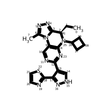 CC[C@@H]1c2nnc(C)n2-c2cnc(-c3c[nH]nc3-c3nccs3)nc2N1C1CCC1